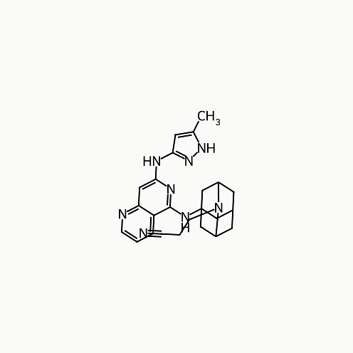 Cc1cc(Nc2cc3ncccc3c(NC34CC5CC(C3)N(CCC#N)C(C5)C4)n2)n[nH]1